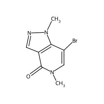 Cn1cc(Br)c2c(cnn2C)c1=O